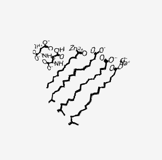 CC(C)CCCCCCCCCCCCCCC(=O)[O-].CC(C)CCCCCCCCCCCCCCC(=O)[O-].CC(C)CCCCCCCCCCCCCCC(=O)[O-].CCCCCCCCCCC[C](=O)[Zn+2].N[C@@H](CC(=O)O)C(=O)[O-].N[C@@H](CC(=O)[O-])C(=O)[O-].[Cl-].[Na+].[Ti+4]